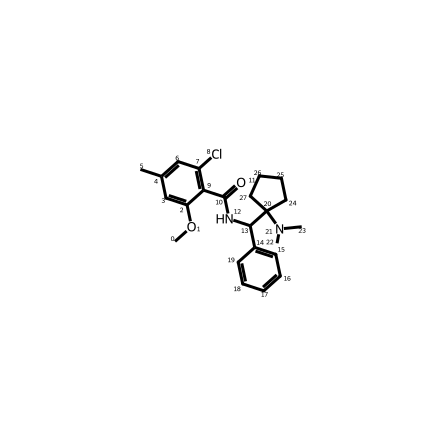 COc1cc(C)cc(Cl)c1C(=O)NC(c1ccccc1)C1(N(C)C)CCCC1